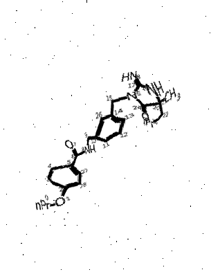 CCCOc1ccc(C(=O)NCc2cccc(CN3C(=N)NC(C)(CC(C)C)C3=O)c2)cc1